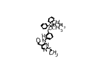 CSc1ncc(C=O)c(Nc2cccc(CO[Si](c3ccccc3)(c3ccccc3)C(C)(C)C)c2)n1